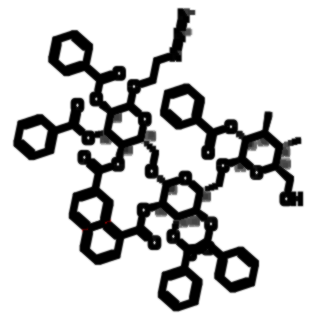 C[C@H]1[C@H](C)[C@@H](CO)O[C@@H](OC[C@H]2O[C@@H](OC[C@H]3OC(OCCN=[N+]=[N-])[C@H](OC(=O)c4ccccc4)[C@@H](OC(=O)c4ccccc4)[C@@H]3OC(=O)c3ccccc3)[C@H](OC(=O)c3ccccc3)[C@@H](OC(=O)c3ccccc3)[C@@H]2OC(=O)c2ccccc2)[C@@H]1OC(=O)c1ccccc1